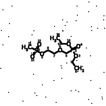 CCOP(=O)(COCCOS(C)(=O)=O)OCC